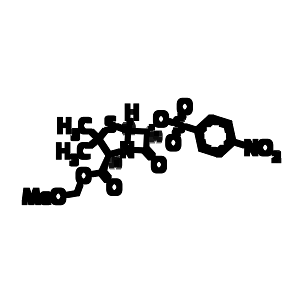 COCOC(=O)[C@@H]1N2C(=O)[C@@H](OS(=O)(=O)c3ccc([N+](=O)[O-])cc3)[C@H]2SC1(C)C